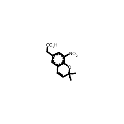 CC1(C)C=Cc2cc(CC(=O)O)cc([N+](=O)[O-])c2O1